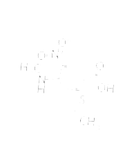 CCSc1cc(NC)c([N+](=O)[O-])cc1C(=O)O